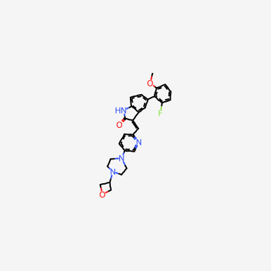 COc1cccc(F)c1-c1ccc2c(c1)C(=Cc1ccc(N3CCN(C4COC4)CC3)cn1)C(=O)N2